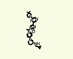 CC(n1cc(-c2cncc(N3CCC(C)(C)C3)n2)nn1)n1ccc(N2CCC[C@@H](NCC3CC3)C2)cc1=O